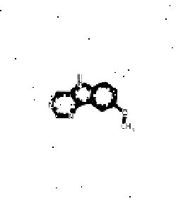 COc1ccc2[nH]c3cncnc3c2c1